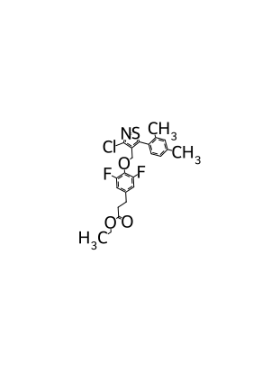 CCOC(=O)CCc1cc(F)c(OCc2c(Cl)nsc2-c2ccc(C)cc2C)c(F)c1